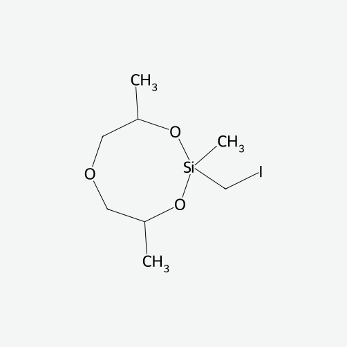 CC1COCC(C)O[Si](C)(CI)O1